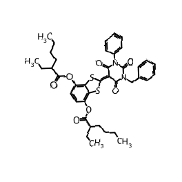 CCCCC(CC)C(=O)Oc1ccc(OC(=O)C(CC)CCCC)c2c1SC(=C1C(=O)N(Cc3ccccc3)C(=O)N(c3ccccc3)C1=O)S2